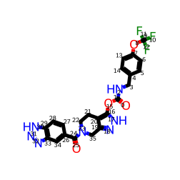 O=C(NCc1ccc(OC(F)(F)F)cc1)Oc1[nH]nc2c1CCN(C(=O)c1ccc3[nH]nnc3c1)C2